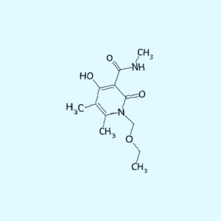 CCOCn1c(C)c(C)c(O)c(C(=O)NC)c1=O